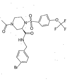 CC(=O)N1CCN(S(=O)(=O)c2ccc(OC(F)(F)F)cc2)[C@@H](C(=O)NCc2ccc(Br)cc2)C1